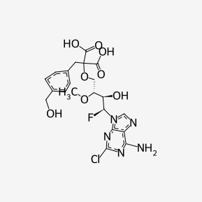 CO[C@H](COC(Cc1ccc(CO)cc1)(C(=O)O)C(=O)O)[C@@H](O)[C@H](F)n1cnc2c(N)nc(Cl)nc21